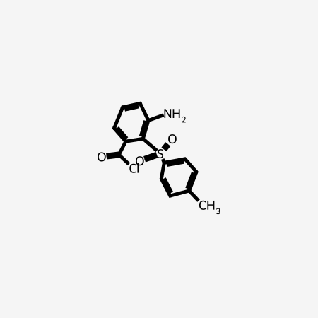 Cc1ccc(S(=O)(=O)c2c(N)cccc2C(=O)Cl)cc1